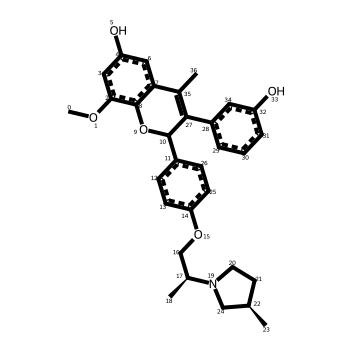 COc1cc(O)cc2c1OC(c1ccc(OC[C@H](C)N3CC[C@@H](C)C3)cc1)C(c1cccc(O)c1)=C2C